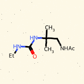 CCNC(=O)NC(C)(C)CNC(C)=O